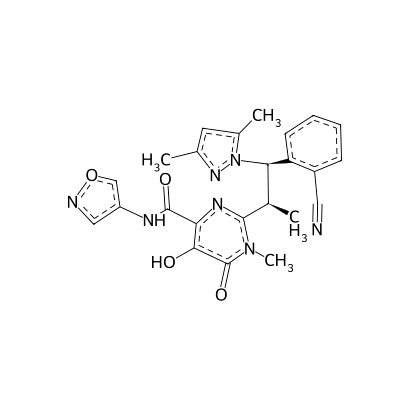 Cc1cc(C)n([C@@H](c2ccccc2C#N)[C@@H](C)c2nc(C(=O)Nc3cnoc3)c(O)c(=O)n2C)n1